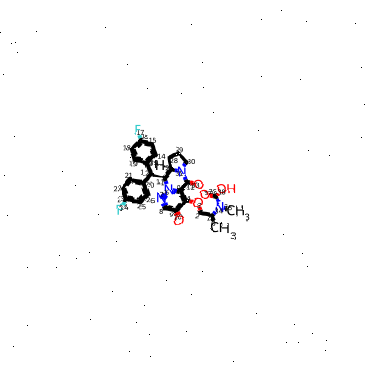 CC(COc1c2n(ncc1=O)[C@@H](C(c1ccc(F)cc1)c1ccc(F)cc1)[C@H]1CCCN1C2=O)N(C)C(=O)O